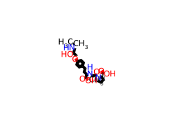 CC(C)NCC(O)COc1ccc(CCC(N[C@@H](C)C(=O)N2CCC[C@H]2C(=O)O)C(=O)O)cc1